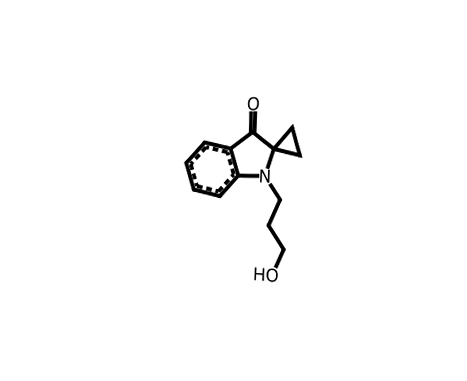 O=C1c2ccccc2N(CCCO)C12CC2